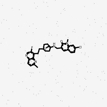 Cc1ccc2ncc(F)c(CCC34CCC(NCc5cc6ccc(Cl)cc6n(C)c5=O)(CC3)CO4)c2n1